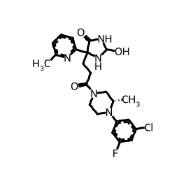 Cc1cccc(C2(CCC(=O)N3CCN(c4cc(F)cc(Cl)c4)[C@@H](C)C3)NC(O)NC2=O)n1